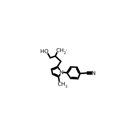 [CH2]C(CO)Cc1ccc(C)n1-c1ccc(C#N)cc1